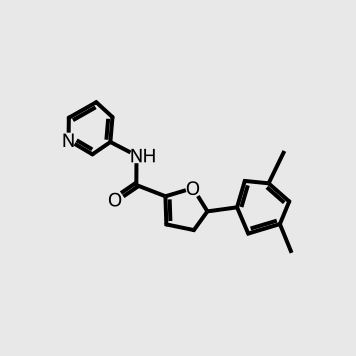 Cc1cc(C)cc(C2CC=C(C(=O)Nc3cccnc3)O2)c1